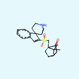 CC1(C)C2CCC1(CS(=O)(=O)C1=Cc3ccccc3C13CCNCC3)C(=O)C2